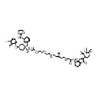 O=C1CCC(N2Cc3c(NC(=O)COCCNCCOCCOCCOCCNC(=O)C4(Cc5cccc(Nc6nccs6)n5)CCC(Oc5cccc(Cl)c5F)CC4)cccc3C2=O)C(=O)N1